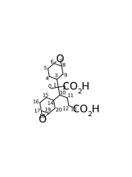 CC(C(=O)O)(C1CCC2OC2C1)C(CCC(=O)O)C1CCC2OC2C1